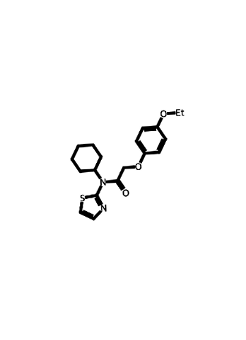 CCOc1ccc(OCC(=O)N(c2nccs2)C2CCCCC2)cc1